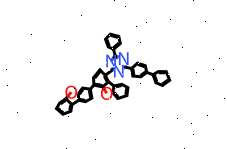 c1ccc(-c2ccc(-c3nc(-c4ccccc4)nc(-c4ccc(-c5ccc6c(c5)oc5ccccc56)c5oc6ccccc6c45)n3)cc2)cc1